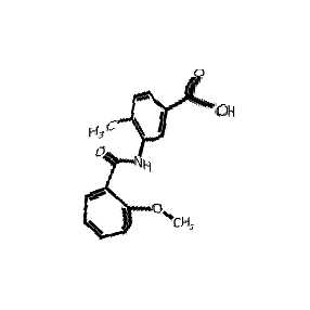 COc1ccccc1C(=O)Nc1cc(C(=O)O)ccc1C